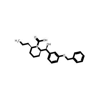 CCC[C@@H]1CCC[C@H]([C@@H](O)c2cccc(OCc3ccccc3)c2)N1C(=O)O